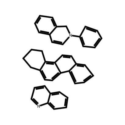 C1=CN(c2ccccc2)Cc2ccccc21.c1ccc2c(c1)ccc1c3c(ccc12)CCCC3.c1ccc2ncccc2c1